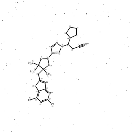 CC1(C)OB(c2cnn(C(CC#N)C3CCCC3)c2)OC1(C)Cc1cc2nc(Cl)nc(Cl)c2s1